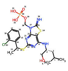 CC(C)C[C@H](CO)Nc1nc(SC(C)c2ccccc2Cl)nc2c1sc(=N)n2COP(=O)(O)O